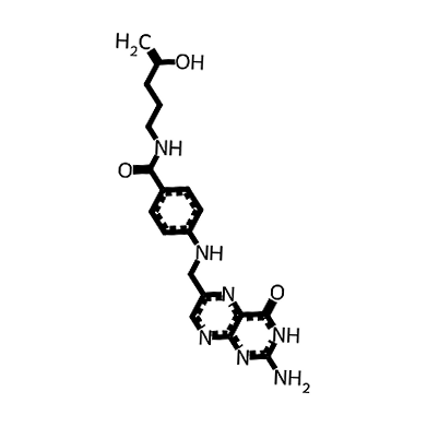 C=C(O)CCCNC(=O)c1ccc(NCc2cnc3nc(N)[nH]c(=O)c3n2)cc1